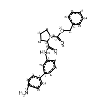 Nc1ccc(-c2cccc(NC(=O)C3CCCN3C(=O)OCc3ccccc3)c2)cc1